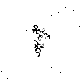 C=C(O)CNC(=O)[C@@H]1CC2(CN1C(=O)CNC(=O)[C@@H](NC(=C)[C@H]1CCCN(CC)C1)C(C)(C)C)C(C)(C)C21CCC1